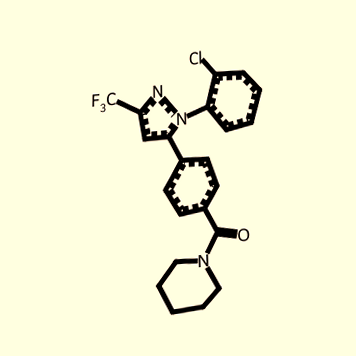 O=C(c1ccc(-c2cc(C(F)(F)F)nn2-c2ccccc2Cl)cc1)N1CCCCC1